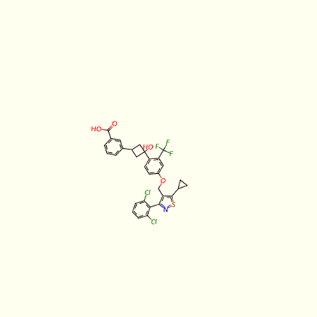 O=C(O)c1cccc(C2CC(O)(c3ccc(OCc4c(-c5c(Cl)cccc5Cl)nsc4C4CC4)cc3C(F)(F)F)C2)c1